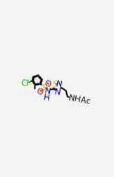 CC(=O)NCCc1nsc(NS(=O)(=O)c2cccc(Cl)c2C)n1